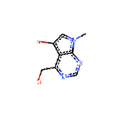 Cn1cc(Br)c2c(CO)ncnc21